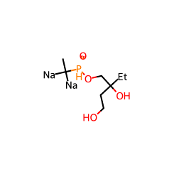 CCC(O)(CCO)CO[PH](=O)[C](C)([Na])[Na]